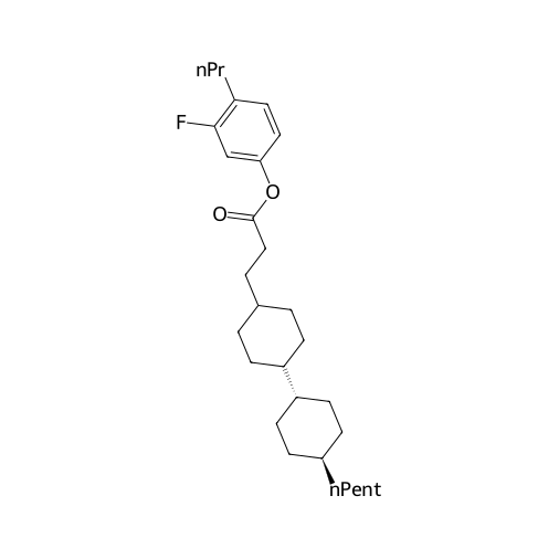 CCCCC[C@H]1CC[C@H](C2CCC(CCC(=O)Oc3ccc(CCC)c(F)c3)CC2)CC1